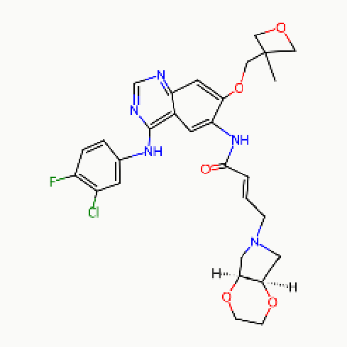 CC1(COc2cc3ncnc(Nc4ccc(F)c(Cl)c4)c3cc2NC(=O)C=CCN2C[C@@H]3OCCO[C@@H]3C2)COC1